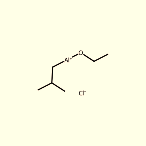 CC[O][Al+][CH2]C(C)C.[Cl-]